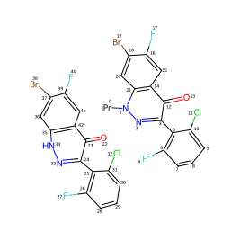 CC(C)n1nc(-c2c(F)cccc2Cl)c(=O)c2cc(F)c(Br)cc21.O=c1c(-c2c(F)cccc2Cl)n[nH]c2cc(Br)c(F)cc12